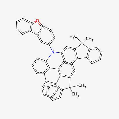 CC1(C)c2ccccc2-c2ccc(N(c3ccc4oc5ccccc5c4c3)c3cccc(-c4ccccc4)c3-c3cccc4c3-c3ccccc3C4(C)C)cc21